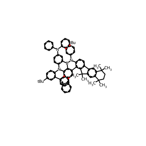 CC(C)(C)c1ccc(N2B3c4cc(N(c5ccccc5)c5ccccc5)ccc4N(c4ccc(C(C)(C)C)cc4-c4ccccc4)c4c3c(cc3c4sc4ccccc43)-c3c2ccc2c3C(C)(C)c3cc4c(cc3-2)C(C)(C)CCC4(C)C)cc1